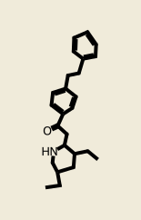 CCC1CNC(CC(=O)c2ccc(CCc3ccccc3)cc2)C(CC)C1